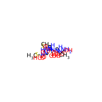 CSCC[C@H](NC(=O)[C@@H]1CCCN1C(=O)[C@H](CCSC)NC(=O)[C@@H]1CCCN1C(=O)[C@H](CCC(=O)O)NC(=O)[C@@H]1CCCN1C(=O)[C@@H](NC(=O)[C@@H](N)CO)[C@@H](C)O)C(=O)O